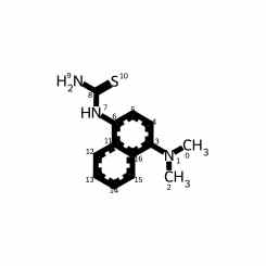 CN(C)c1ccc(NC(N)=S)c2ccccc12